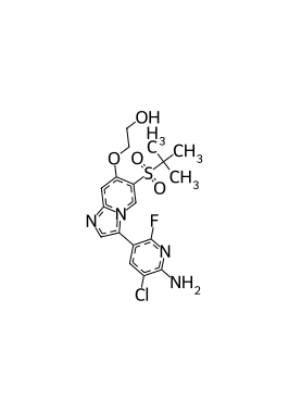 CC(C)(C)S(=O)(=O)c1cn2c(-c3cc(Cl)c(N)nc3F)cnc2cc1OCCO